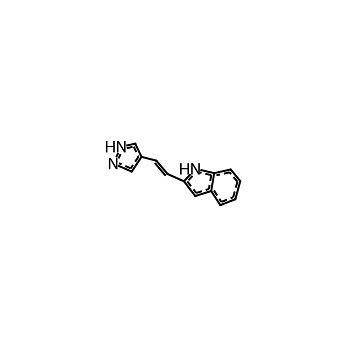 C(=C\c1cc2ccccc2[nH]1)/c1cn[nH]c1